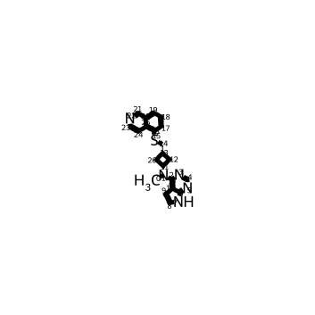 CN(c1ncnc2[nH]ccc12)[C@H]1C[C@@H](CSc2cccc3cnccc23)C1